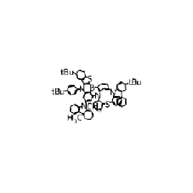 CC(C)(C)c1ccc(N2c3cc(N4c5ccccc5C5(C)CCCCC45C)cc4c3B(c3ccc5cc3N4c3ccccc3Sc3ccccc3N5c3ccc(C(C)(C)C)cc3-c3ccccc3)c3sc4ccc(C(C)(C)C)cc4c32)cc1